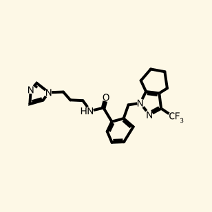 O=C(NCCCn1ccnc1)c1ccccc1Cn1nc(C(F)(F)F)c2c1CCCC2